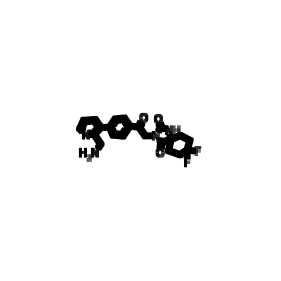 NCc1ncccc1-c1ccc(C(=O)CN2C(=O)NC3(CCC(F)(F)CC3)C2=O)cc1